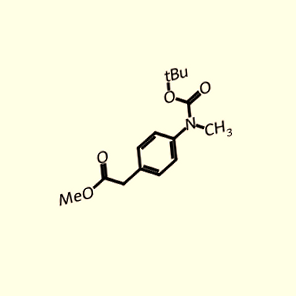 COC(=O)Cc1ccc(N(C)C(=O)OC(C)(C)C)cc1